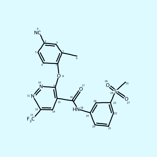 Cc1cc(C#N)ccc1Oc1nnc(C(F)(F)F)cc1C(=O)Nc1cccc(S(C)(=O)=O)c1